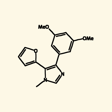 COc1cc(OC)cc(-c2ncn(C)c2-c2ccco2)c1